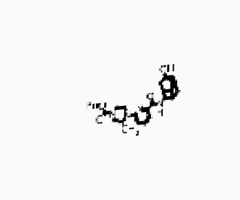 C[C@@H]1CN(C(=O)OC(C)(C)C)CCN1c1cccc(C(=O)NC2C3CC4CC2CC(O)(C4)C3)n1